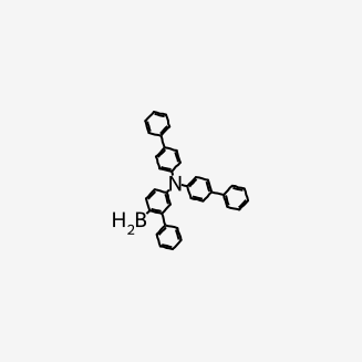 Bc1ccc(N(c2ccc(-c3ccccc3)cc2)c2ccc(-c3ccccc3)cc2)cc1-c1ccccc1